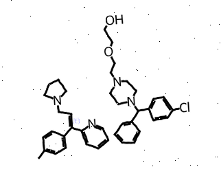 Cc1ccc(/C(=C\CN2CCCC2)c2ccccn2)cc1.OCCOCCN1CCN(C(c2ccccc2)c2ccc(Cl)cc2)CC1